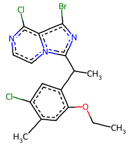 CCOc1cc(C)c(Cl)cc1C(C)c1nc(Br)c2c(Cl)nccn12